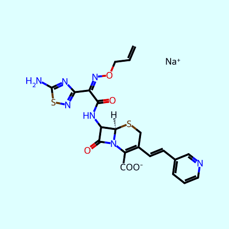 C=CCO/N=C(\C(=O)NC1C(=O)N2C(C(=O)[O-])=C(/C=C/c3cccnc3)CS[C@H]12)c1nsc(N)n1.[Na+]